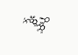 N#CC1CCCCC1n1nc(Nc2ccc3c(c2)CN(CC(F)(F)F)S3(=O)=O)c2c(=O)[nH]ccc21